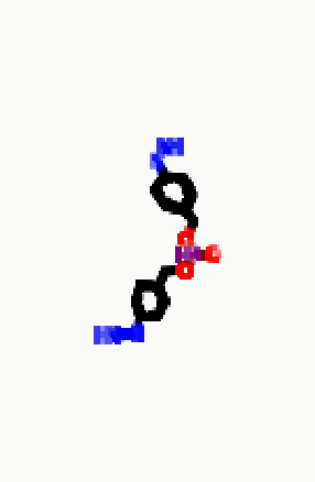 N=Nc1ccc(CO[PH](=O)OCc2ccc(N=N)cc2)cc1